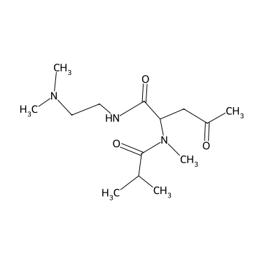 CC(=O)CC(C(=O)NCCN(C)C)N(C)C(=O)C(C)C